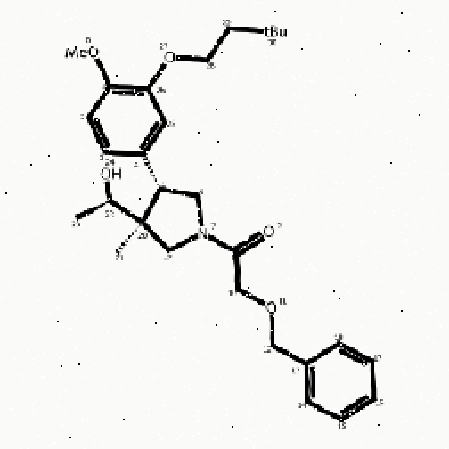 COc1ccc([C@@H]2CN(C(=O)COCc3ccccc3)C[C@@]2(C)[C@@H](C)O)cc1OCCC(C)(C)C